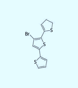 Brc1cc(-c2cccs2)sc1C1=CCCS1